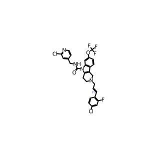 O=C(NCc1ccnc(Cl)c1)n1c2c(c3ccc(OC(F)(F)F)cc31)CN(C/C=C/c1ccc(Cl)cc1F)CC2